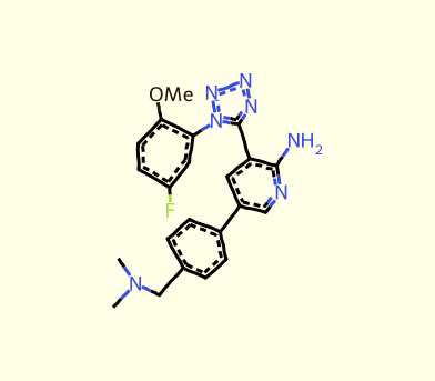 COc1ccc(F)cc1-n1nnnc1-c1cc(-c2ccc(CN(C)C)cc2)cnc1N